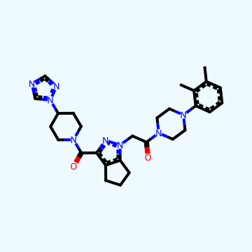 Cc1cccc(N2CCN(C(=O)Cn3nc(C(=O)N4CCC(n5cncn5)CC4)c4c3CCC4)CC2)c1C